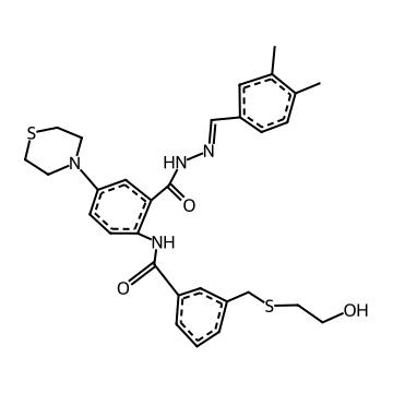 Cc1ccc(/C=N/NC(=O)c2cc(N3CCSCC3)ccc2NC(=O)c2cccc(CSCCO)c2)cc1C